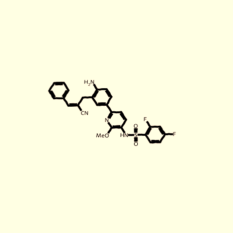 COc1nc(-c2ccc(N)c(C/C(C#N)=C\c3ccccc3)c2)ccc1NS(=O)(=O)c1ccc(F)cc1F